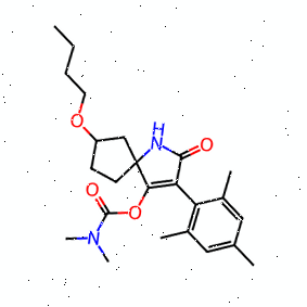 CCCCOC1CCC2(C1)NC(=O)C(c1c(C)cc(C)cc1C)=C2OC(=O)N(C)C